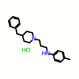 Cc1ccc(NCCCN2CCC(Cc3ccccc3)CC2)cc1.Cl